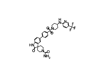 NC(=O)N1CCC2(CC1)C(=O)Nc1ccc(-c3ccc(S(=O)(=O)N4CCC(Nc5ccc(C(F)(F)F)cn5)CC4)cc3)cc12